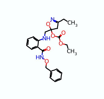 CCOC(=O)OC1(CNc2ccccc2C(=O)NOCc2ccccc2)CC(CC)=NO1